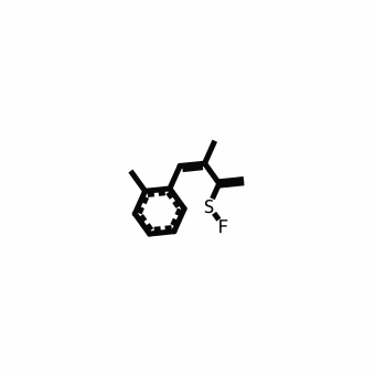 C=C(SF)/C(C)=C\c1ccccc1C